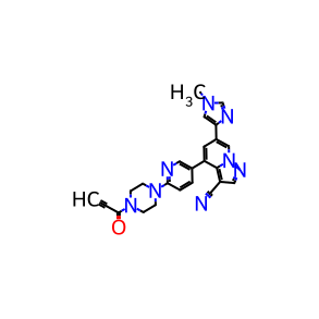 C#CC(=O)N1CCN(c2ccc(-c3cc(-c4cn(C)cn4)cn4ncc(C#N)c34)cn2)CC1